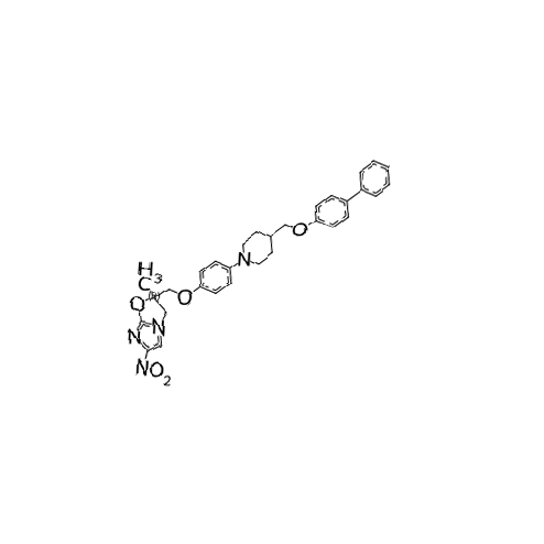 C[C@]1(COc2ccc(N3CCC(COc4ccc(-c5ccccc5)cc4)CC3)cc2)Cn2cc([N+](=O)[O-])nc2O1